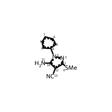 CSc1nn(-c2ccccc2)c(N)c1C#N